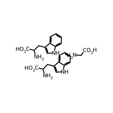 NC(Cc1c[nH]c2ccccc12)C(=O)O.NC(Cc1c[nH]c2ccccc12)C(=O)O.NCC(=O)O